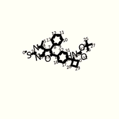 CSc1nc(C)c2c(-c3ccccc3)c(-c3ccc(C4(NC(=O)OC(C)(C)C)CCC4)cc3)oc2n1